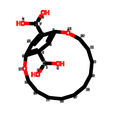 OB(O)c1cc2c(B(O)O)cc1OCCCCCCCCCCO2